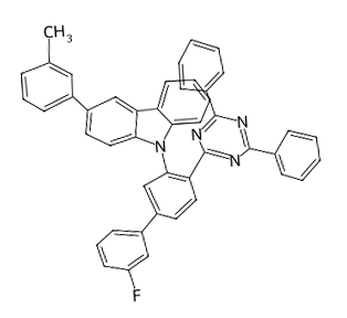 Cc1cccc(-c2ccc3c(c2)c2ccccc2n3-c2cc(-c3cccc(F)c3)ccc2-c2nc(-c3ccccc3)nc(-c3ccccc3)n2)c1